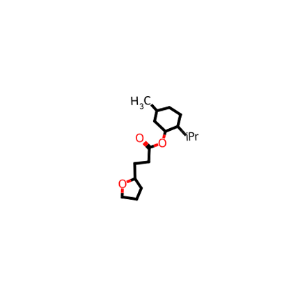 CC1CCC(C(C)C)C(OC(=O)CCC2CCCO2)C1